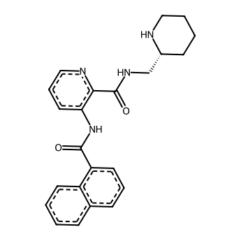 O=C(NC[C@H]1CCCCN1)c1ncccc1NC(=O)c1cccc2ccccc12